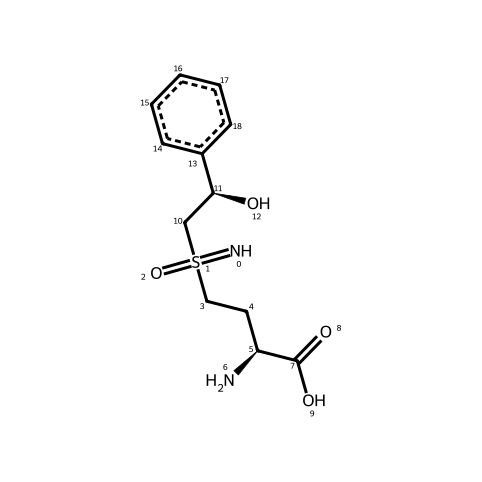 N=S(=O)(CC[C@H](N)C(=O)O)C[C@H](O)c1ccccc1